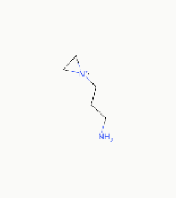 NCCC[N+]1CC1